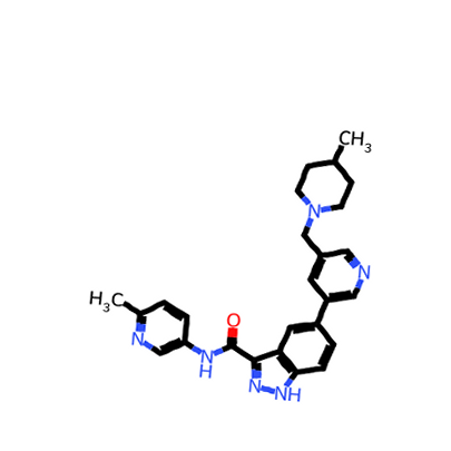 Cc1ccc(NC(=O)c2n[nH]c3ccc(-c4cncc(CN5CCC(C)CC5)c4)cc23)cn1